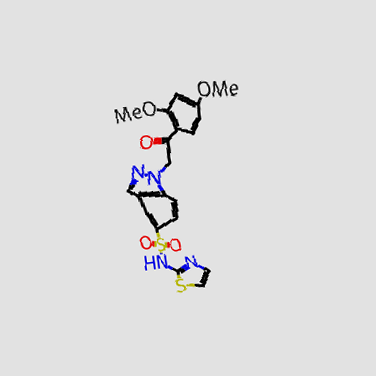 COc1ccc(C(=O)Cn2ncc3cc(S(=O)(=O)Nc4nccs4)ccc32)c(OC)c1